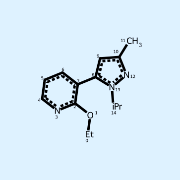 CCOc1ncccc1-c1cc(C)nn1C(C)C